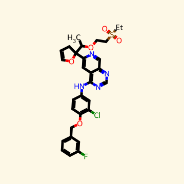 CCS(=O)(=O)CCOC(C)C1(c2cc3c(Nc4ccc(OCc5cccc(F)c5)c(Cl)c4)ncnc3cn2)CC=CO1